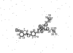 Cc1cc(O[C@@H]2CCc3c(Br)cccc32)ccc1C=CS(=O)(=O)N(COCC[Si](C)(C)C)COCC[Si](C)(C)C